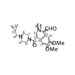 CCN1C=C(C(=O)N2CCN(CC3CC3)CC2)c2cc(OC)c(OC)cc2C1C=O